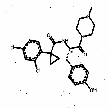 CN1CCN(C(=O)[C@H](Cc2ccc(O)cc2)NC(=O)C2(c3ccc(Cl)cc3Cl)CC2)CC1